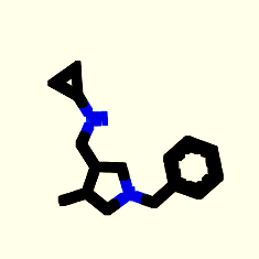 CC1CN(Cc2ccccc2)CC1CNC1CC1